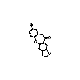 O=C1Cc2cc(Br)ccc2Oc2cc3c(cc21)OCC3